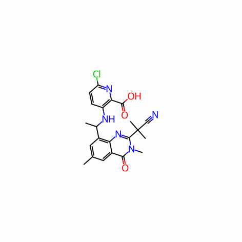 Cc1cc(C(C)Nc2ccc(Cl)nc2C(=O)O)c2nc(C(C)(C)C#N)n(C)c(=O)c2c1